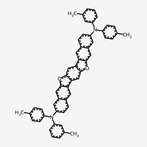 Cc1ccc(N(c2cccc(C)c2)c2ccc3cc4c(cc3c2)oc2cc3c(cc24)oc2cc4cc(N(c5ccc(C)cc5)c5cccc(C)c5)ccc4cc23)cc1